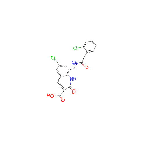 O=C(NCc1cc(Cl)cc2cc(C(=O)O)c(=O)[nH]c12)c1ccccc1Cl